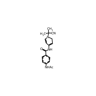 CC(=O)Nc1ccc(C(=O)NC2=CCN(C(C)(C)C#N)C=C2)cc1